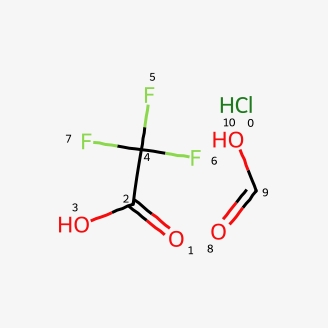 Cl.O=C(O)C(F)(F)F.O=CO